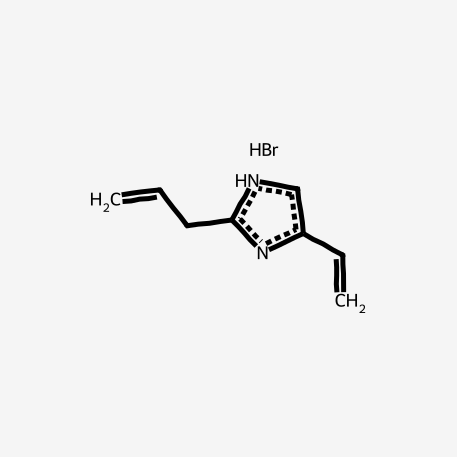 Br.C=CCc1nc(C=C)c[nH]1